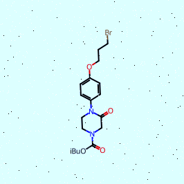 CC(C)COC(=O)N1CCN(c2ccc(OCCCBr)cc2)C(=O)C1